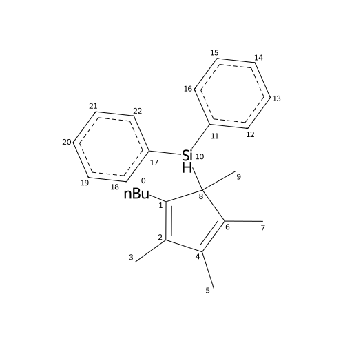 CCCCC1=C(C)C(C)=C(C)C1(C)[SiH](c1ccccc1)c1ccccc1